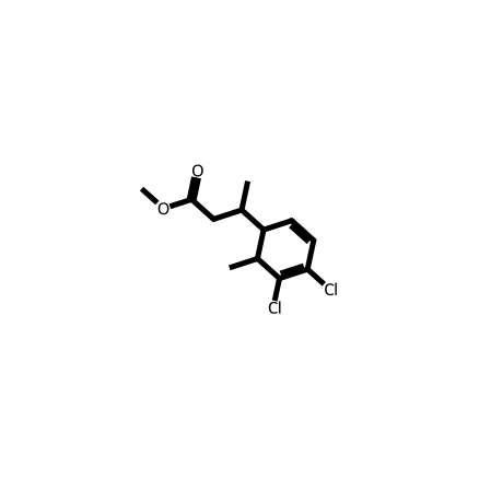 COC(=O)CC(C)C1C=CC(Cl)=C(Cl)C1C